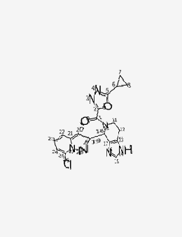 O=C(c1nnc(C2CC2)o1)N1CCc2[nH]cnc2C1c1cc2cccc(Cl)n2n1